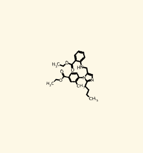 CCCCc1ncc(CNc2ccccc2C(=O)OCC)n1-c1ccc(C(=O)OCC)cc1C